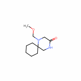 COCN1CC(=O)NCC12CCCCC2